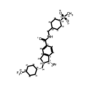 CC(C)[C@H]1c2ccc(C(=O)NCC3CCN(S(C)(=O)=O)CC3)cc2CN1C[C@H]1CC[C@H](C(F)(F)F)CC1